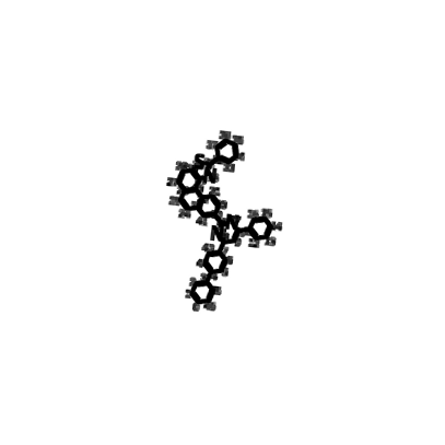 c1ccc(-c2ccc(-c3cc(-c4ccccc4)nc(-c4ccc5c(ccc6ccc7sc(-c8ccccc8)nc7c65)c4)n3)cc2)cc1